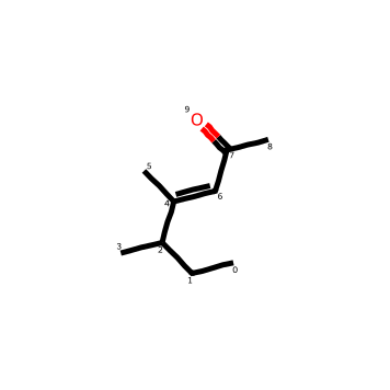 CCC(C)C(C)=CC(C)=O